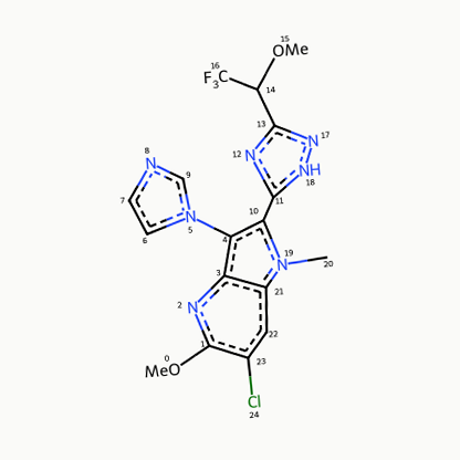 COc1nc2c(-n3ccnc3)c(-c3nc(C(OC)C(F)(F)F)n[nH]3)n(C)c2cc1Cl